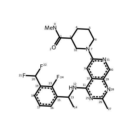 CNC(=O)C1CCCN(c2cc3c(NC(C)c4cccc(C(F)F)c4F)nc(C)nc3cn2)C1